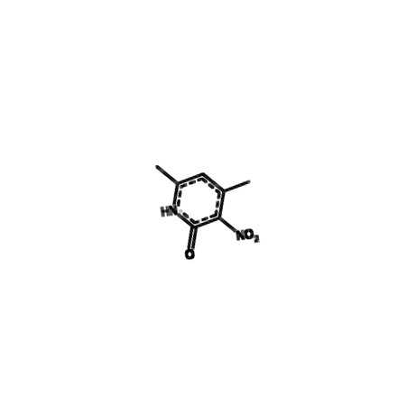 Cc1cc(C)c([N+](=O)[O-])c(=O)[nH]1